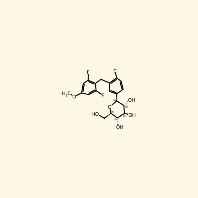 COc1cc(F)c(Cc2cc([C@@H]3O[C@H](CO)[C@@H](O)[C@H](O)[C@H]3O)ccc2Cl)c(F)c1